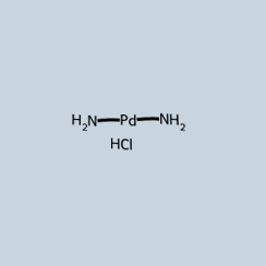 Cl.[NH2][Pd][NH2]